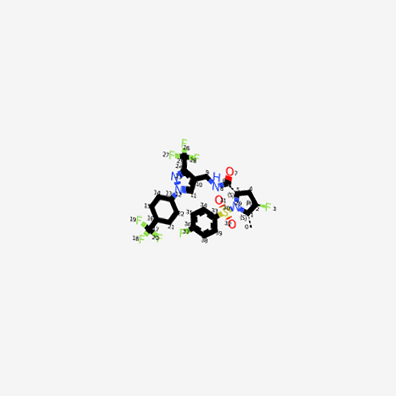 C[C@H]1[C@H](F)C[C@@H](C(=O)NCc2cn(C3CCC(C(F)(F)F)CC3)nc2C(F)(F)F)N1S(=O)(=O)c1ccc(F)cc1